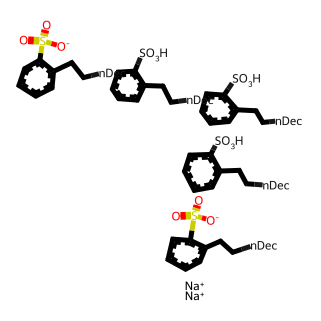 CCCCCCCCCCCCc1ccccc1S(=O)(=O)O.CCCCCCCCCCCCc1ccccc1S(=O)(=O)O.CCCCCCCCCCCCc1ccccc1S(=O)(=O)O.CCCCCCCCCCCCc1ccccc1S(=O)(=O)[O-].CCCCCCCCCCCCc1ccccc1S(=O)(=O)[O-].[Na+].[Na+]